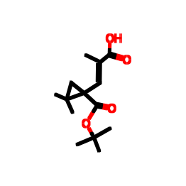 C/C(=C\C1(C(=O)OC(C)(C)C)CC1(C)C)C(=O)O